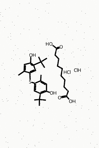 Cc1cc(O)c(C(C)(C)C)cc1Sc1cc(C(C)(C)C)c(O)cc1C.Cl.Cl.O=C(O)CCCCCCCCC(=O)O